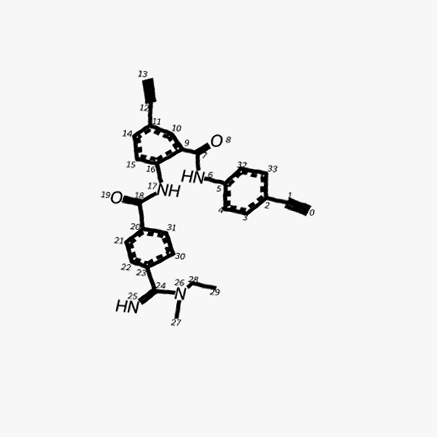 C#Cc1ccc(NC(=O)c2cc(C#C)ccc2NC(=O)c2ccc(C(=N)N(C)CC)cc2)cc1